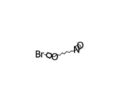 C[C@@H]1CN(CCCCCCCCOc2ccc(Br)cc2)C[C@H](C)O1